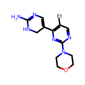 CCc1cnc(N2CCOCC2)nc1C1=CN=C(N)NC1